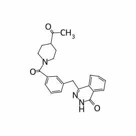 CC(=O)C1CCN(C(=O)c2cccc(Cc3n[nH]c(=O)c4ccccc34)c2)CC1